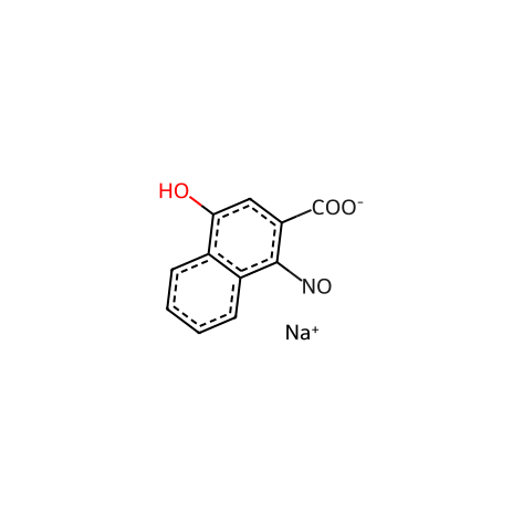 O=Nc1c(C(=O)[O-])cc(O)c2ccccc12.[Na+]